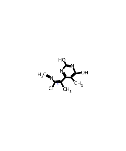 C=N/C(Cl)=C(/C)c1nc(O)nc(O)c1C